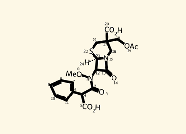 CON(C(=O)C(C(=O)O)c1ccccc1)C1C(=O)N2CC(COC(C)=O)(C(=O)O)CS[C@H]12